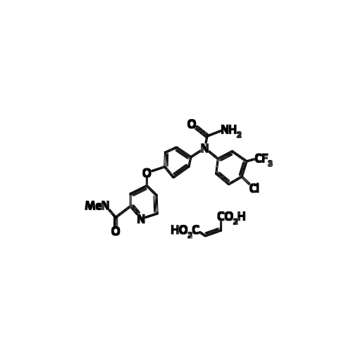 CNC(=O)c1cc(Oc2ccc(N(C(N)=O)c3ccc(Cl)c(C(F)(F)F)c3)cc2)ccn1.O=C(O)/C=C\C(=O)O